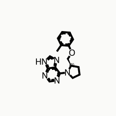 Cc1ccccc1OC[C@H]1CCCN1c1ncnc2[nH]cnc12